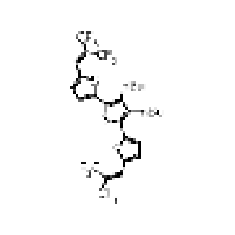 CCCCc1c(-c2ccc(C=C(C(F)(F)F)C(F)(F)F)s2)sc(-c2ccc(C=C(C(F)(F)F)C(F)(F)F)s2)c1CCCC